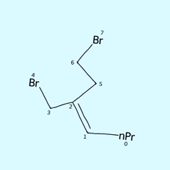 CCCC=C(CBr)CCBr